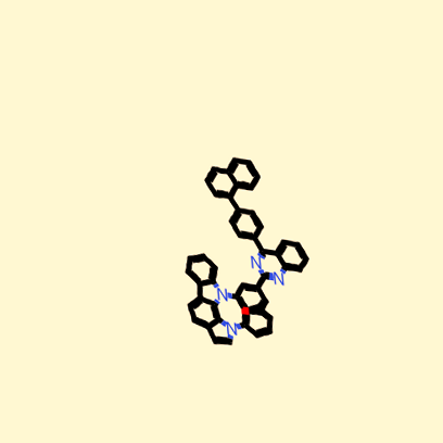 c1ccc(-n2ccc3ccc4c5ccccc5n(-c5cccc(-c6nc(-c7ccc(-c8cccc9ccccc89)cc7)c7ccccc7n6)c5)c4c32)cc1